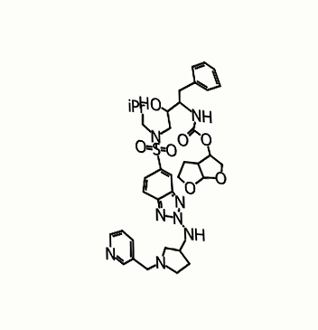 CC(C)CN(CC(O)C(Cc1ccccc1)NC(=O)OC1COC2OCCC12)S(=O)(=O)c1ccc2nn(NC3CCN(Cc4cccnc4)C3)nc2c1